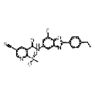 CCc1ccc(-c2nc3cc(NC(=O)c4cc(C#N)cnc4S(C)(=O)=O)cc(F)c3o2)cc1